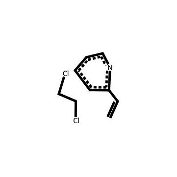 C=Cc1ccccn1.ClCCCl